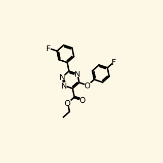 CCOC(=O)c1nnc(-c2cccc(F)c2)nc1Oc1ccc(F)cc1